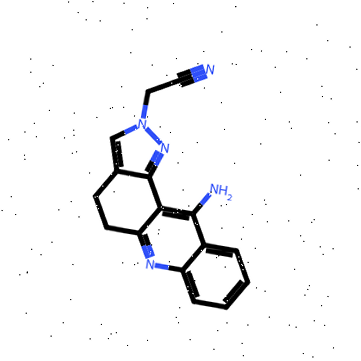 N#CCn1cc2c(n1)-c1c(nc3ccccc3c1N)CC2